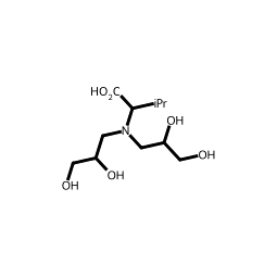 CC(C)C(C(=O)O)N(CC(O)CO)CC(O)CO